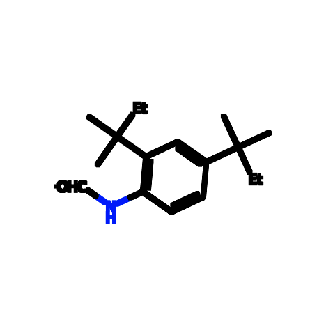 CCC(C)(C)c1ccc(N[C]=O)c(C(C)(C)CC)c1